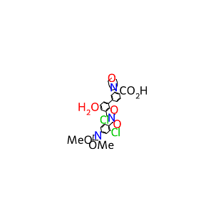 COC1(OC)CN(c2cc(Cl)c(C(=O)N3COc4c(cccc4-c4ccc(C(=O)O)c(N5C6CCC5COC6)c4)C3)c(Cl)c2)C1.O